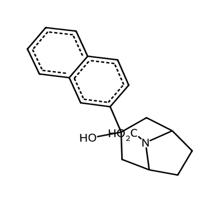 O=C(O)N1C2CCC1CC(O)(c1ccc3ccccc3c1)C2